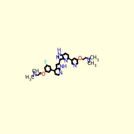 CN(C)CCOc1cncc(-c2ccc3[nH]nc(-c4cc5c(-c6cc(F)cc(OCCN(C)C)c6)ccnc5[nH]4)c3n2)c1